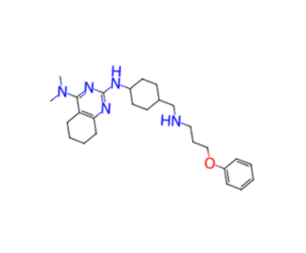 CN(C)c1nc(NC2CCC(CNCCCOc3ccccc3)CC2)nc2c1CCCC2